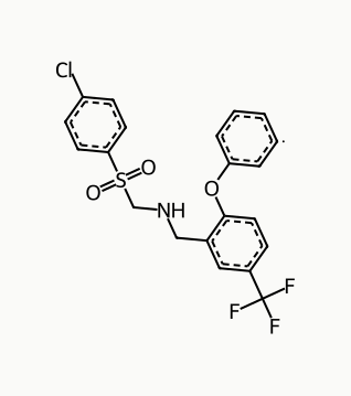 O=S(=O)(CNCc1cc(C(F)(F)F)ccc1Oc1c[c]ccc1)c1ccc(Cl)cc1